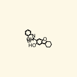 Oc1ccccc1N=C(Br)c1cc2oc3c(c2cc1O)CCCC3